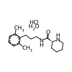 Cc1cccc(C)c1CCCNC(=O)[C@@H]1CCCCN1.Cl.O